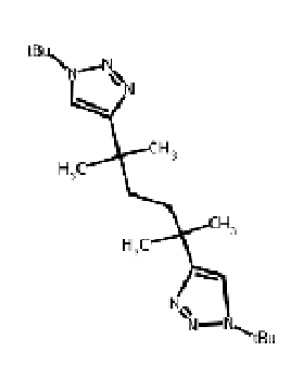 CC(C)(CCC(C)(C)c1cn(C(C)(C)C)nn1)c1cn(C(C)(C)C)nn1